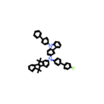 CC1(C)C2=C(c3ccccc31)C(C)(C)c1cc(N(c3ccc(-c4ccc(F)cc4)cc3)c3ccc4c(c3)c3ccccc3n4-c3ccc(-c4ccccc4)cc3)ccc12